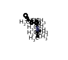 C=C(Nc1cccc(-c2cc(N/C(C)=C/C=C(\N(C)C)N(C)CCN(C)C)c(=O)n(C)c2)c1C)c1cc2c(s1)CCCCC2